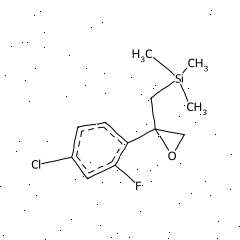 C[Si](C)(C)CC1(c2ccc(Cl)cc2F)CO1